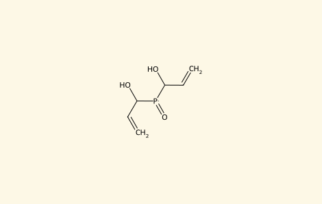 C=CC(O)[P](=O)C(O)C=C